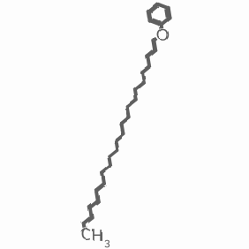 CCCCCCCCCCCCCCCCCCCCCCCCOc1ccccc1